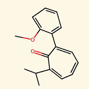 COc1ccccc1-c1ccccc(C(C)C)c1=O